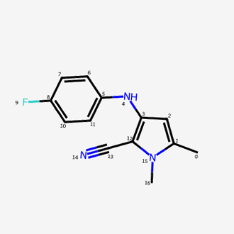 Cc1cc(Nc2ccc(F)cc2)c(C#N)n1C